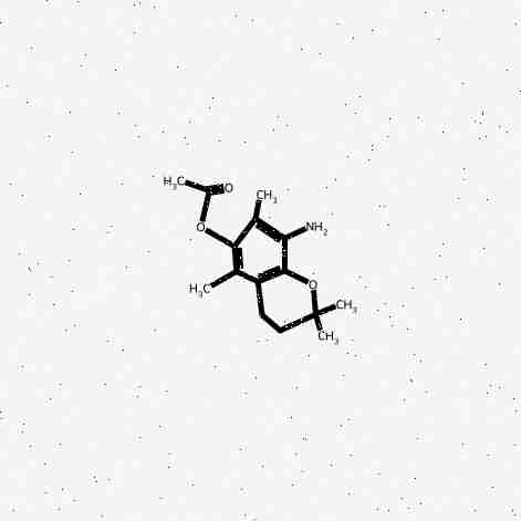 CC(=O)Oc1c(C)c(N)c2c(c1C)CCC(C)(C)O2